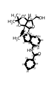 CC#C[C@@]12OC(C)(C)O[C@@H]1[C@@H](CO)O[C@H]2n1ccc2c(NC(=O)c3ccccc3)ncnc21